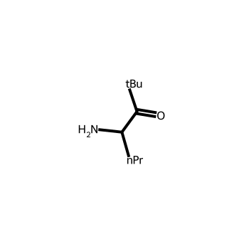 CCCC(N)C(=O)C(C)(C)C